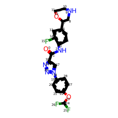 O=C(Nc1ccc(C2CNCCO2)cc1F)c1cn(-c2ccc(OC(F)F)cc2)nn1